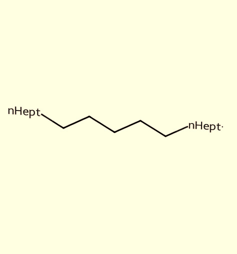 CCCCCC[CH]CCCCCCCCCCCC